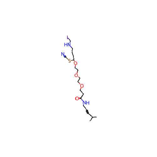 CC(C)C#CCNC(=O)CCOCCOCCOC(CCCNCI)SC#N